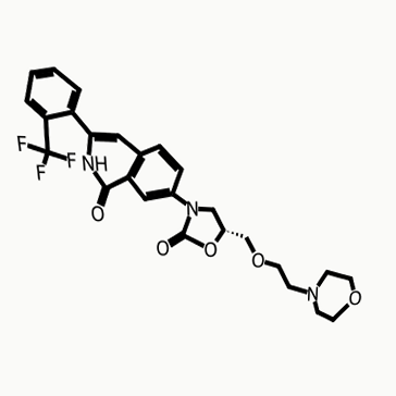 O=C1O[C@@H](COCCN2CCOCC2)CN1c1ccc2cc(-c3ccccc3C(F)(F)F)[nH]c(=O)c2c1